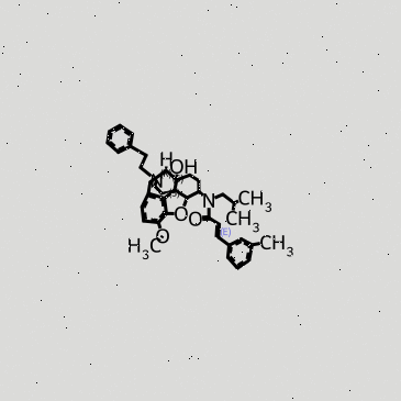 COc1ccc2c3c1OC1C(N(CC(C)C)C(=O)/C=C/c4cccc(C)c4)CC[C@@]4(O)[C@@H](C2)N(CCc2ccccc2)CC[C@]314